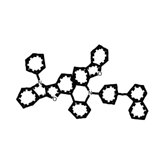 c1ccc(-n2c3ccccc3c3oc4c(-c5ccccc5N(c5ccc(-c6cccc7ccccc67)cc5)c5cccc6c5oc5ccccc56)cccc4c32)cc1